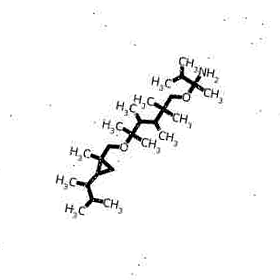 CC(C)C(C)C1CC1(C)COC(C)(C)C(C)C(C)C(C)(C)COC(C)(N)C(C)C